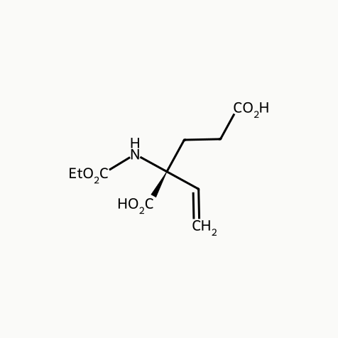 C=C[C@@](CCC(=O)O)(NC(=O)OCC)C(=O)O